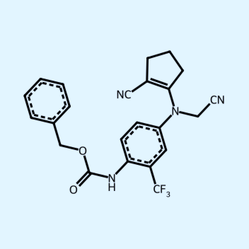 N#CCN(C1=C(C#N)CCC1)c1ccc(NC(=O)OCc2ccccc2)c(C(F)(F)F)c1